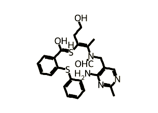 C/C(=C(CCO)/[SH]=C(\O)c1ccccc1Sc1ccccc1)N(C=O)Cc1cnc(C)nc1N